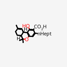 CCCCCCCc1cc2c(c(O)c1C(=O)O)[C@@H]1C=C(C)CC[C@H]1C(C)(C)O2